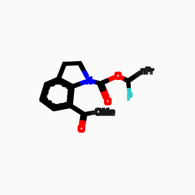 CCCC(F)OC(=O)N1CCc2cccc(C(=O)OC)c21